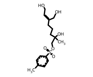 Cc1ccc(S(=O)(=O)OCC(C)(O)CCCC(=CCO)CO)cc1